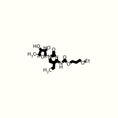 C=Cc1cn([C@@H]2O[C@H](C)C(O)C2O)c(=O)nc1NC(=O)OCCCOCC